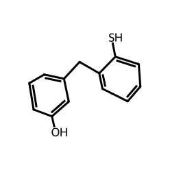 Oc1cccc(Cc2ccccc2S)c1